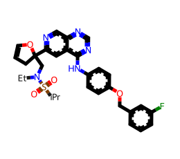 CCN(CC1(c2cc3c(Nc4ccc(OCc5cccc(F)c5)cc4)ncnc3cn2)CC=CO1)S(=O)(=O)C(C)C